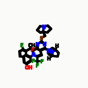 CCc1c(F)ccc2cc(O)cc(-n3c(C(F)(F)F)cc4c(N5C[C@H]6CC[C@@H](C5)N6)nc(SCC56CCCN5CCC6)nc4c3=O)c12